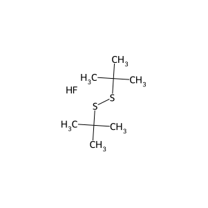 CC(C)(C)SSC(C)(C)C.F